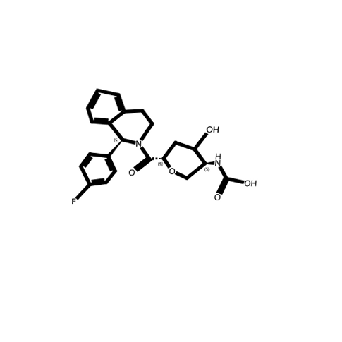 O=C(O)N[C@H]1CO[C@H](C(=O)N2CCc3ccccc3[C@@H]2c2ccc(F)cc2)CC1O